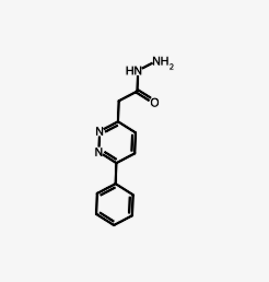 NNC(=O)Cc1ccc(-c2ccccc2)nn1